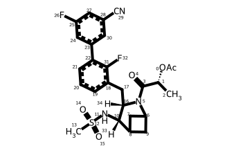 CC(=O)O[C@H](C)C(=O)N1C2CC(C2)[C@H](NS(C)(=O)=O)[C@@H]1Cc1cccc(-c2cc(F)cc(C#N)c2)c1F